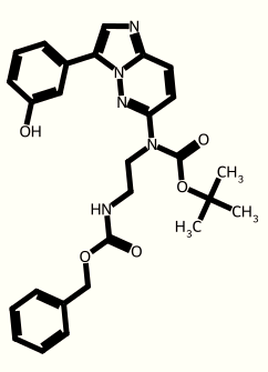 CC(C)(C)OC(=O)N(CCNC(=O)OCc1ccccc1)c1ccc2ncc(-c3cccc(O)c3)n2n1